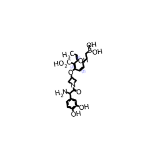 C\C=C(O)/C(C(=O)O)=C(\C=C/CCCB(O)O)OC1CN(C(=O)C(N)c2ccc(O)c(O)c2)C1